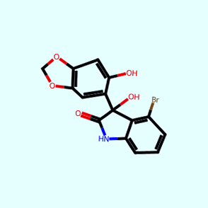 O=C1Nc2cccc(Br)c2C1(O)c1cc2c(cc1O)OCO2